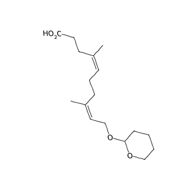 CC(=CCOC1CCCCO1)CCC=C(C)CCC(=O)O